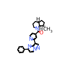 C[C@H]1CC[C@H]2CCCN(C(=O)c3ccnc(-c4cnn5ccc(-c6ccccc6)nc45)c3)[C@H]21